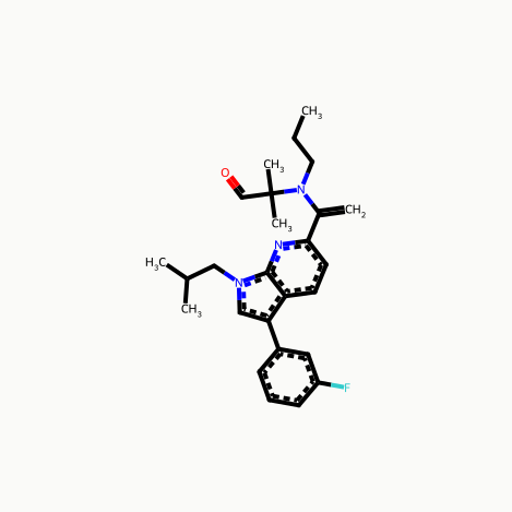 C=C(c1ccc2c(-c3cccc(F)c3)cn(CC(C)C)c2n1)N(CCC)C(C)(C)C=O